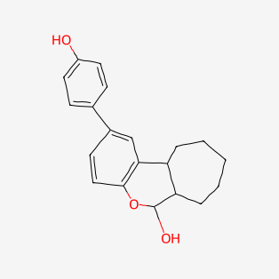 Oc1ccc(-c2ccc3c(c2)C2CCCCCC2C(O)O3)cc1